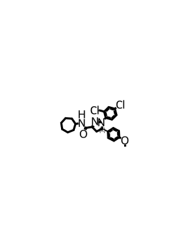 COc1ccc([C@H]2CC(C(=O)NC3CCCCCC3)=NN2c2ccc(Cl)cc2Cl)cc1